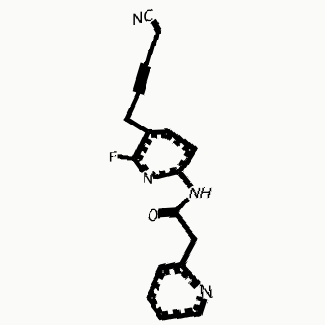 N#CCC#CCc1ccc(NC(=O)Cc2ccccn2)nc1F